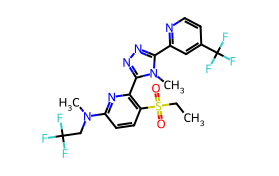 CCS(=O)(=O)c1ccc(N(C)CC(F)(F)F)nc1-c1nnc(-c2cc(C(F)(F)F)ccn2)n1C